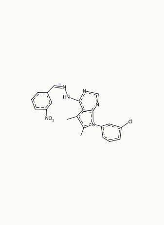 Cc1c(C)n(-c2cccc(Cl)c2)c2ncnc(N/N=C\c3cccc([N+](=O)[O-])c3)c12